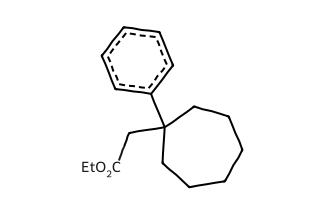 CCOC(=O)CC1(c2ccccc2)CCCCCC1